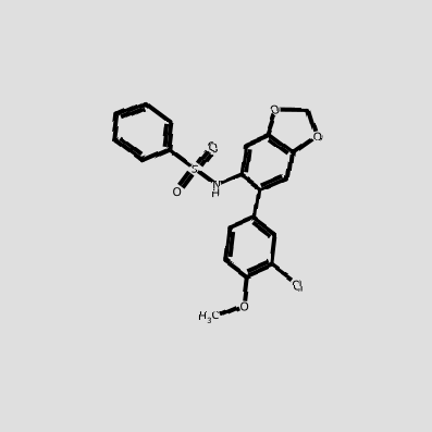 COc1ccc(-c2cc3c(cc2NS(=O)(=O)c2ccccc2)OCO3)cc1Cl